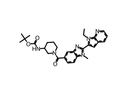 CCn1c(-c2nc3cc(C(=O)N4CCCC(NC(=O)OC(C)(C)C)C4)ccc3n2C)cc2cccnc21